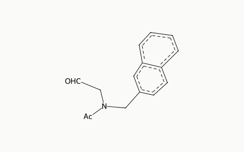 CC(=O)N(CC=O)Cc1ccc2ccccc2c1